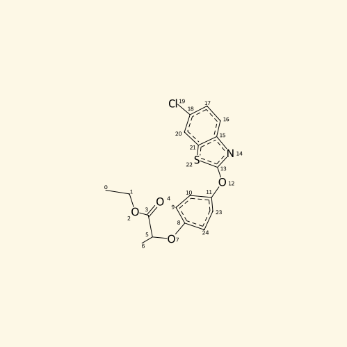 CCOC(=O)C(C)Oc1ccc(Oc2nc3ccc(Cl)cc3s2)cc1